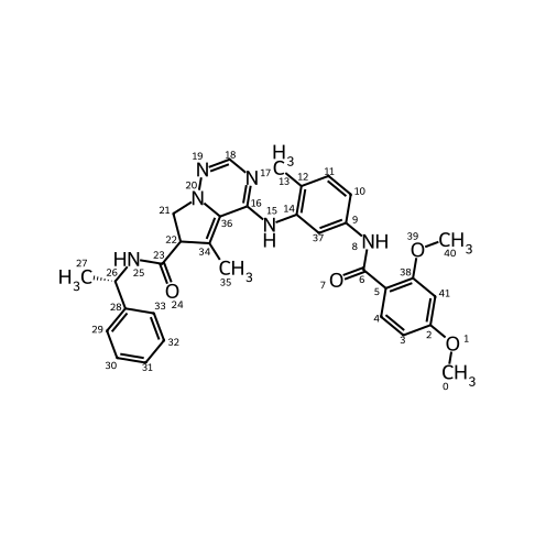 COc1ccc(C(=O)Nc2ccc(C)c(NC3=NC=NN4CC(C(=O)N[C@@H](C)c5ccccc5)C(C)=C34)c2)c(OC)c1